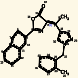 C/C(=C1/N=C(c2ccc3ccccc3c2)OC1=O)c1cnn(Cc2ccccc2C)c1